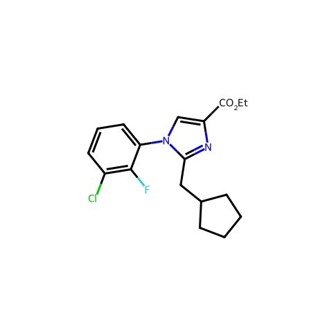 CCOC(=O)c1cn(-c2cccc(Cl)c2F)c(CC2CCCC2)n1